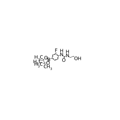 CC1(C)OB(c2ccc(NC(=O)NCCO)c(F)c2)OC1(C)C